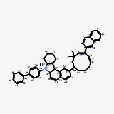 CC1(C)/C=C(c2ccc3ccccc3c2)\C=C/CCCC(c2ccc3c(c2)C2C4CCCC[C@@H]4N(c4ccc(-c5ccccc5)cc4)C2C=C3)C1